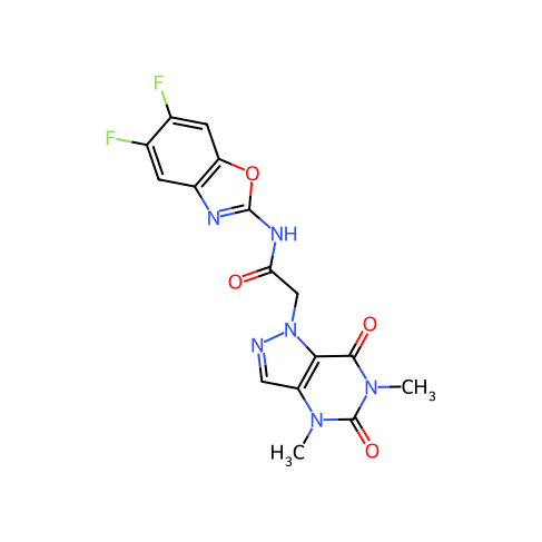 Cn1c(=O)c2c(cnn2CC(=O)Nc2nc3cc(F)c(F)cc3o2)n(C)c1=O